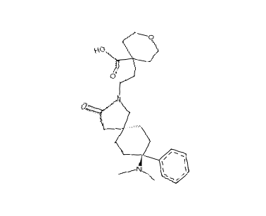 CN(C)[C@]1(c2ccccc2)CC[C@]2(CC1)CC(=O)N(CCC1(C(=O)O)CCOCC1)C2